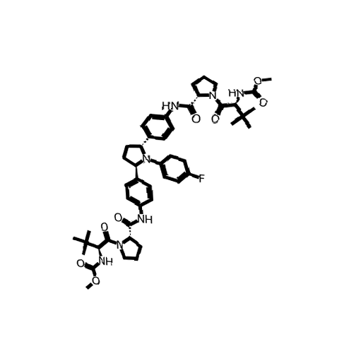 COC(=O)N[C@H](C(=O)N1CCC[C@H]1C(=O)Nc1ccc([C@H]2CC[C@H](c3ccc(NC(=O)[C@@H]4CCCN4C(=O)[C@@H](NC(=O)OC)C(C)(C)C)cc3)N2C2=CC=C(F)CC2)cc1)C(C)(C)C